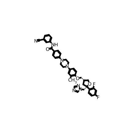 Cc1cc(N2CCN(c3ccc(C(=O)Nc4cccc(C#N)c4)cc3)CC2)ccc1OC[C@@H]1CO[C@@](Cn2cncn2)(c2ccc(F)cc2F)C1